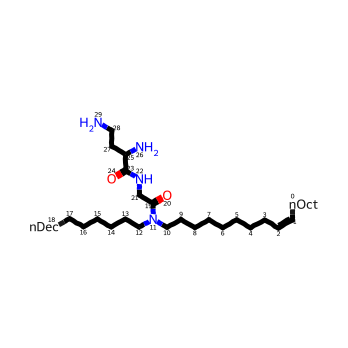 CCCCCCCC/C=C\CCCCCCCCN(CCCCCCCCCCCCCCCC)C(=O)CNC(=O)C(N)CCN